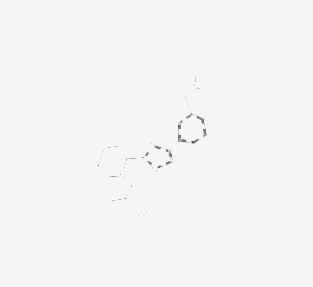 CSC(C=O)CN1CCCCC1c1nc(-c2cccc(CN(C)C)c2)c[nH]1